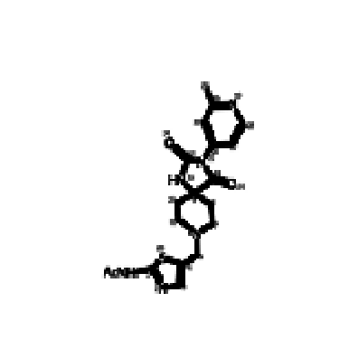 CC(=O)Nc1ncc(CN2CCC3(CC2)NC(=O)N(c2ccnc(C)c2)C3=O)s1